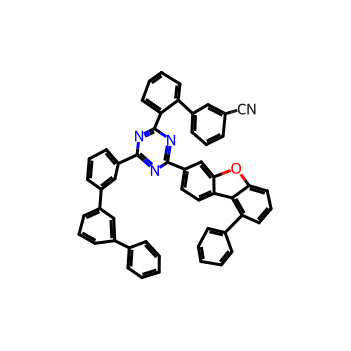 N#Cc1cccc(-c2ccccc2-c2nc(-c3cccc(-c4cccc(-c5ccccc5)c4)c3)nc(-c3ccc4c(c3)oc3cccc(-c5ccccc5)c34)n2)c1